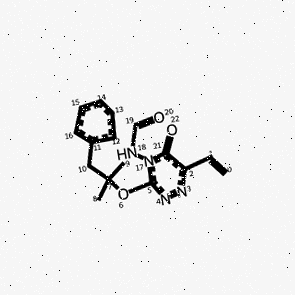 C=Cc1nnc(OC(C)(C)Cc2ccccc2)n(NC=O)c1=O